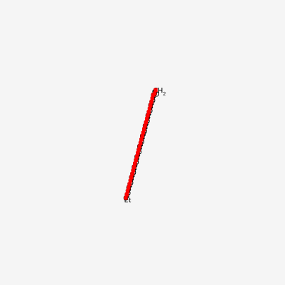 C=CC(=O)OCCOCCOCCOCCOCCOCCOCCOCCOCCOCCOCCOCCOCCOCCOCCOCCOCCOCCOCCOCCOCC